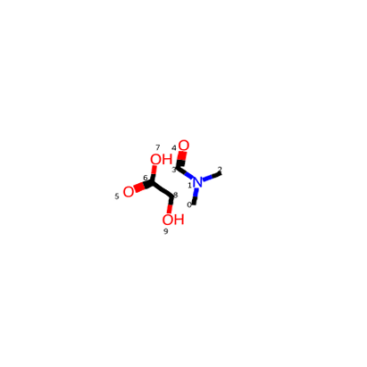 CN(C)C=O.O=C(O)CO